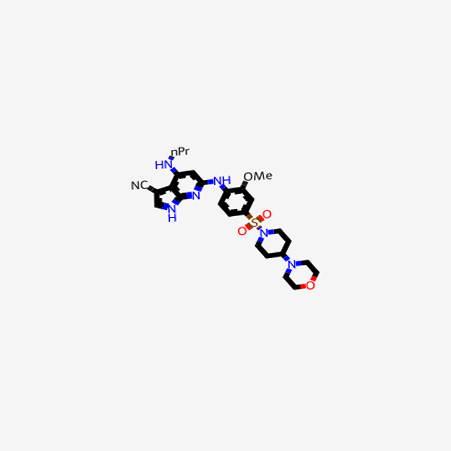 CCCNc1cc(Nc2ccc(S(=O)(=O)N3CCC(N4CCOCC4)CC3)cc2OC)nc2[nH]cc(C#N)c12